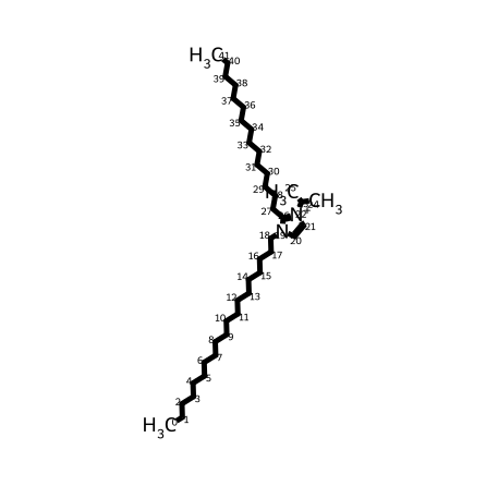 CCCCCCCCCCCCCCCCCCCn1cc[n+](C(C)C)c1CCCCCCCCCCCCCCC